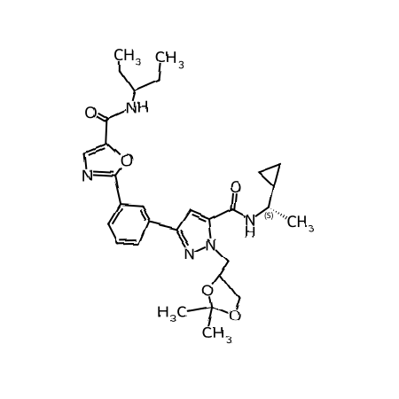 CCC(CC)NC(=O)c1cnc(-c2cccc(-c3cc(C(=O)N[C@@H](C)C4CC4)n(CC4COC(C)(C)O4)n3)c2)o1